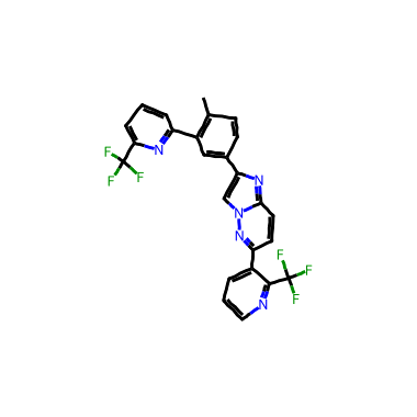 Cc1ccc(-c2cn3nc(-c4cccnc4C(F)(F)F)ccc3n2)cc1-c1cccc(C(F)(F)F)n1